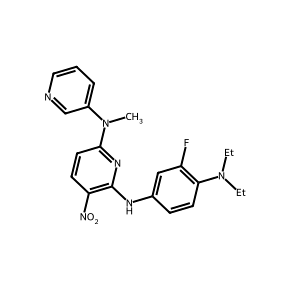 CCN(CC)c1ccc(Nc2nc(N(C)c3cccnc3)ccc2[N+](=O)[O-])cc1F